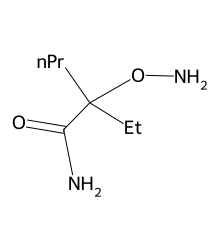 CCCC(CC)(ON)C(N)=O